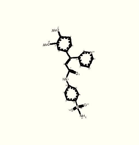 COc1ccc(C(=CC(=O)Nc2ccc(S(N)(=O)=O)cc2)c2cccnc2)cc1OC